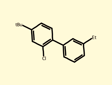 CCc1cccc(-c2ccc(C(C)(C)C)cc2Cl)c1